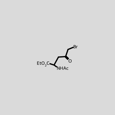 CCOC(=O)C(CC(=O)CBr)NC(C)=O